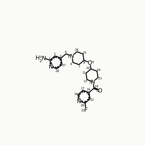 Nc1cc(CN2CCC(OC3CCN(C(=O)c4ccnc(F)c4)CC3)CC2)ccn1